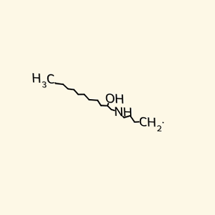 [CH2]CCCNCC(O)CCCCCCCCCC